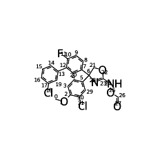 COc1ccc(C2(c3ccc(F)c(-c4cccc(Cl)c4)c3)COC(NOC=O)=N2)cc1Cl